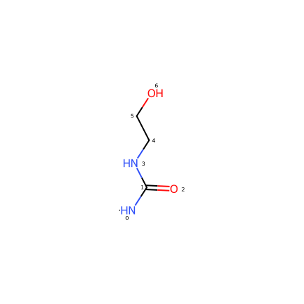 [NH]C(=O)NCCO